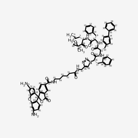 CC(C)C[C@H](NC(=O)[C@H](Cc1ccccc1)NC(=O)[C@H](Cc1ccc(-c2ccccc2)cc1)NC(=O)[C@H](Cc1ccccc1)n1cc(CNC(=O)CCCCCNC(=O)c2ccc3c(c2)C(=O)OC32c3ccc(N)cc3Oc3cc(N)ccc32)nn1)C(=O)[C@@]1(C)CO1